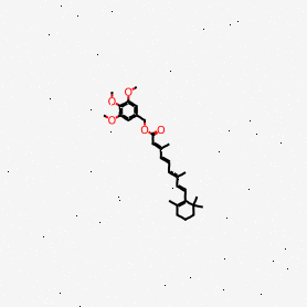 COc1cc(COC(=O)/C=C(C)/C=C/C=C(C)/C=C/C2=C(C)CCCC2(C)C)cc(OC)c1OC